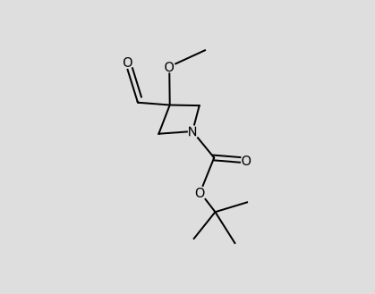 COC1(C=O)CN(C(=O)OC(C)(C)C)C1